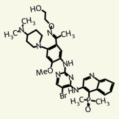 COc1cc(N2CCC(N(C)C)CC2)c(C(C)=NOCCO)cc1Nc1ncc(Br)c(Nc2cnc3ccccc3c2P(C)(C)=O)n1